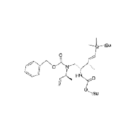 C=C[C@H](C)N(C[C@@H](NC(=O)OC(C)(C)C)[C@@H](C)/C=C/[Si](C)(C)C(C)(C)C)C(=O)OCc1ccccc1